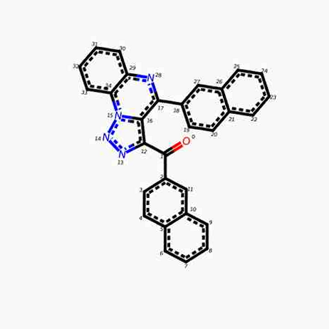 O=C(c1ccc2ccccc2c1)c1nnn2c1c(-c1ccc3ccccc3c1)nc1ccccc12